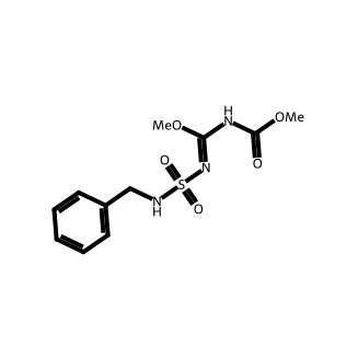 COC(=O)N/C(=N/S(=O)(=O)NCc1ccccc1)OC